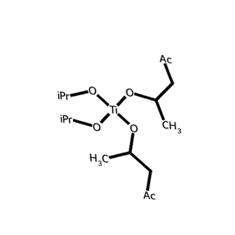 CC(=O)CC(C)[O][Ti]([O]C(C)C)([O]C(C)C)[O]C(C)CC(C)=O